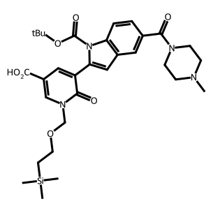 CN1CCN(C(=O)c2ccc3c(c2)cc(-c2cc(C(=O)O)cn(COCC[Si](C)(C)C)c2=O)n3C(=O)OC(C)(C)C)CC1